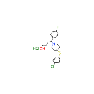 Cl.OCCCC(c1ccc(F)cc1)N1CC=C(Sc2ccc(Cl)cc2)CC1